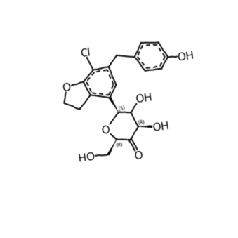 O=C1[C@@H](CO)O[C@@H](c2cc(Cc3ccc(O)cc3)c(Cl)c3c2CCO3)C(O)[C@H]1O